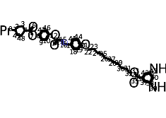 CCCC1CCC(C(=O)Oc2ccc(OC(=O)/C=C/c3ccc(OCCCCCCCCCCCOC(=O)c4cc(N)cc(N)c4)cc3)cc2)CC1